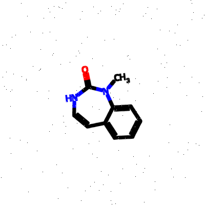 CN1C(=O)NC=Cc2ccccc21